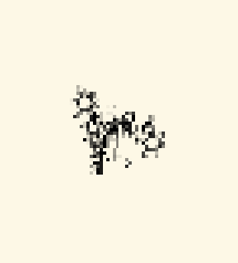 COc1ccccc1CCNC(=O)C(C)Oc1nc(-c2ccccc2)ccc1NCC(N)CS